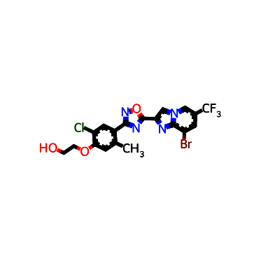 Cc1cc(OCCO)c(Cl)cc1-c1noc(-c2cn3cc(C(F)(F)F)cc(Br)c3n2)n1